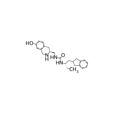 CC[C@@H](CC1Cc2ccccc2C1)NC(=O)NC[C@@H]1Cc2ccc(O)cc2CN1